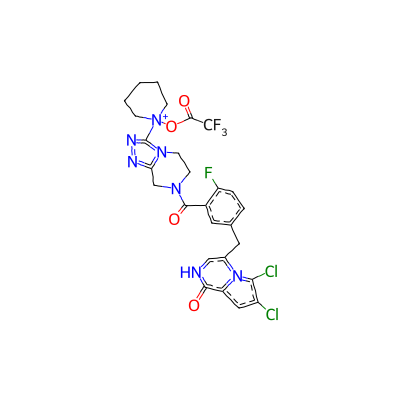 O=C(c1cc(Cc2c[nH]c(=O)c3cc(Cl)c(Cl)n23)ccc1F)N1CCn2c(nnc2[N+]2(OC(=O)C(F)(F)F)CCCCC2)C1